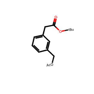 CC(=O)OCc1cccc(CC(=O)OC(C)(C)C)c1